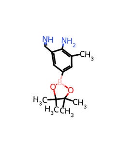 Cc1cc(B2OC(C)(C)C(C)(C)O2)cc(C=N)c1N